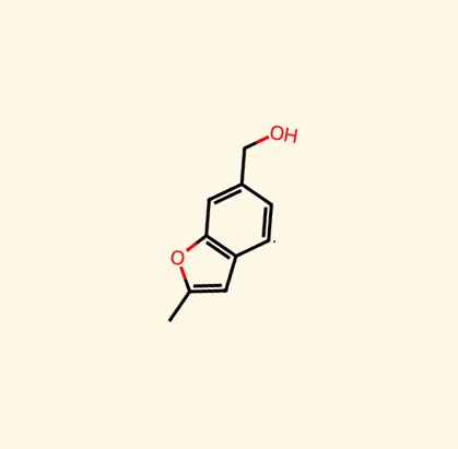 Cc1cc2[c]cc(CO)cc2o1